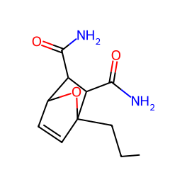 CCCC12C=CC(O1)C(C(N)=O)C2C(N)=O